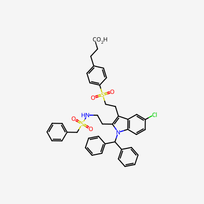 O=C(O)CCc1ccc(S(=O)(=O)CCc2c(CCNS(=O)(=O)Cc3ccccc3)n(C(c3ccccc3)c3ccccc3)c3ccc(Cl)cc23)cc1